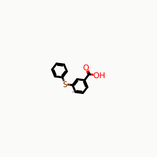 O=C(O)c1cc[c]c(Sc2ccccc2)c1